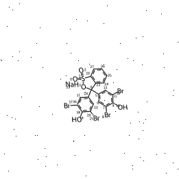 O=S1(=O)OC(c2cc(Br)c(O)c(Br)c2)(c2cc(Br)c(O)c(Br)c2)c2ccccc21.[NaH]